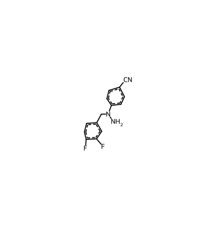 N#Cc1ccc(N(N)Cc2ccc(F)c(F)c2)cc1